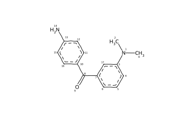 CN(C)c1cccc(C(=O)c2ccc(N)cc2)c1